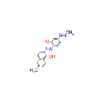 CN=Nc1ccc(N=Nc2ccc3cc(C)ccc3c2O)c(O)c1